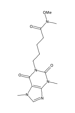 CON(C)C(=O)CCCCn1c(=O)c2c(ncn2C)n(C)c1=O